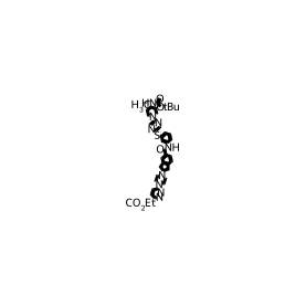 CCOC(=O)c1ccc(N2CCN(C3Cc4ccc(C(=O)Nc5cccc(Sc6cnc(N7CCC(C)(NC(=O)OC(C)(C)C)CC7)cn6)c5)cc4C3)CC2)nn1